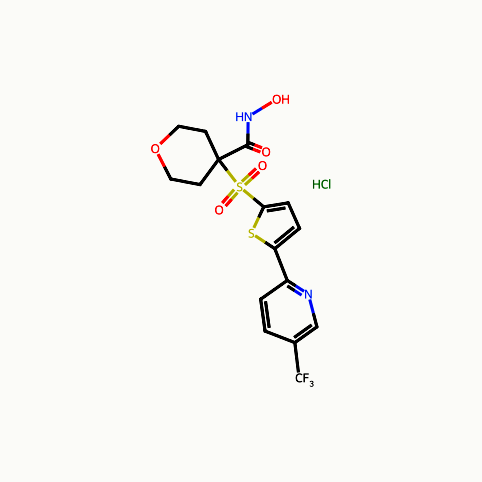 Cl.O=C(NO)C1(S(=O)(=O)c2ccc(-c3ccc(C(F)(F)F)cn3)s2)CCOCC1